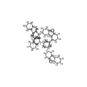 c1ccc(-c2nc(-c3ccc4oc5ccccc5c4c3)nc(-c3cccc4oc5ccc(-c6nc(-c7ccccc7)nc7c6sc6ccccc67)cc5c34)n2)cc1